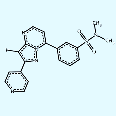 CN(C)S(=O)(=O)c1cccc(-c2ccnc3c(I)c(-c4ccncc4)nn23)c1